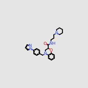 O=C(NCCCN1CCCCC1)C1CN(Cc2ccc(-n3cccn3)cc2)c2ccccc2O1